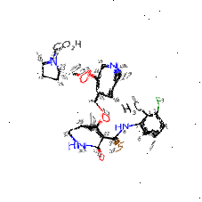 Cc1c(F)cccc1NC(=S)C1=C(OCc2ccncc2OC[C@@H]2CCCN2C(=O)O)CCNC1=O